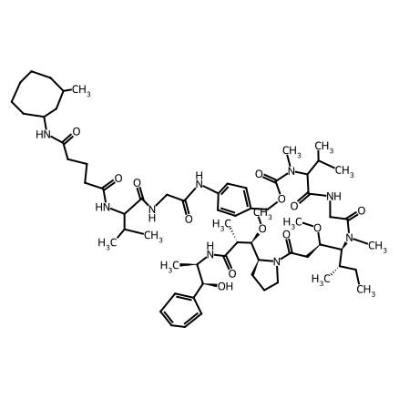 CC[C@H](C)[C@@H]([C@@H](CC(=O)N1CCC[C@H]1[C@H](OC)[C@@H](C)C(=O)N[C@H](C)[C@@H](O)c1ccccc1)OC)N(C)C(=O)CNC(=O)C(C(C)C)N(C)C(=O)OCc1ccc(NC(=O)CNC(=O)C(NC(=O)CCCC(=O)NC2CCCCCC(C)C2)C(C)C)cc1